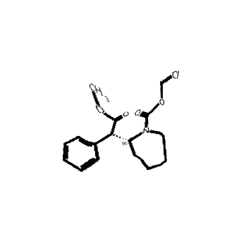 COC(=O)C(c1ccccc1)[C@H]1CCCCN1C(=O)OCCl